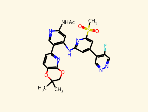 CC(=O)Nc1cc(Nc2cc(-c3cnncc3F)cc(S(C)(=O)=O)n2)c(-c2ccc3c(n2)OCC(C)(C)O3)cn1